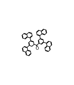 O=C(c1cc(-c2cccc3ccccc23)cc(-c2cccc3ccccc23)c1)C1C=C(c2cccc3ccccc23)C=C(c2cccc3ccccc23)C1